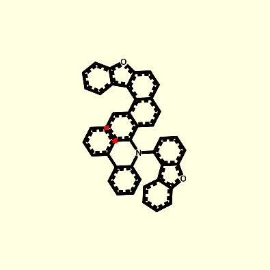 c1ccc(-c2ccccc2N(c2cccc3c2ccc2ccc4oc5ccccc5c4c23)c2cccc3oc4ccccc4c23)cc1